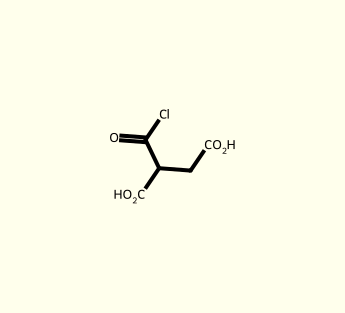 O=C(O)CC(C(=O)O)C(=O)Cl